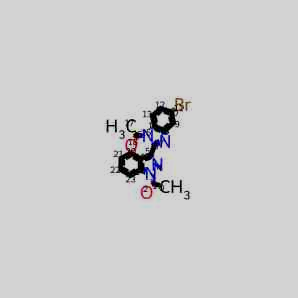 CC(=O)n1nc(-c2nc3cc(Br)ccc3n2C(C)=O)c2ccccc21